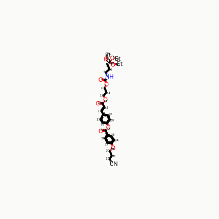 CCO[Si](CCCNC(=O)OCCCOC(=O)/C=C/c1ccc(OC(=O)c2ccc(OCCCC#N)cc2)cc1)(OCC)OCC